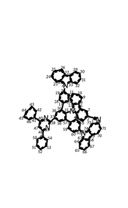 N#Cc1ccc2c(c1)c1ccccc1n2-c1c(-c2ccc(-n3c4ccccc4c4ccccc43)cc2)cc(-c2nc(-c3ccccc3)cc(-c3ccccc3)n2)cc1-c1ccc(-n2c3ccccc3c3ccccc32)cc1